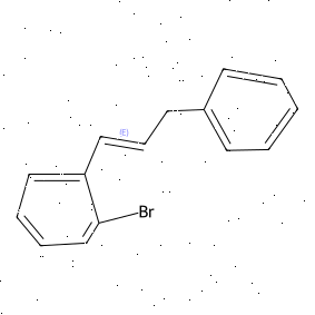 Brc1ccccc1/C=C/Cc1ccccc1